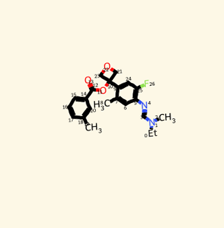 CCN(C)C=Nc1cc(C)c(C2(OC(=O)c3cccc(C)c3)COC2)cc1F